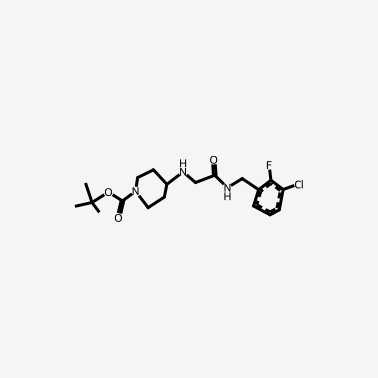 CC(C)(C)OC(=O)N1CCC(NCC(=O)NCc2cccc(Cl)c2F)CC1